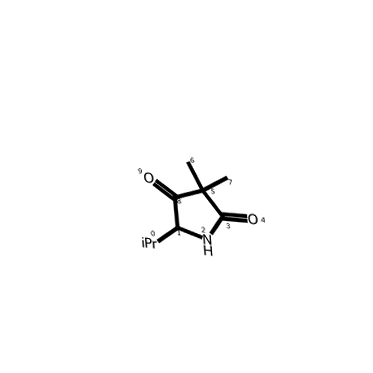 CC(C)C1NC(=O)C(C)(C)C1=O